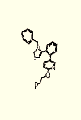 COCCOc1ccc(-c2ccccc2C2=CS[CH]N2Cc2ccccc2)cn1